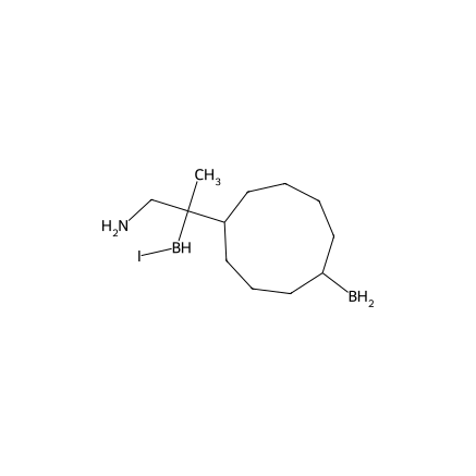 BC1CCCCC(C(C)(BI)CN)CCC1